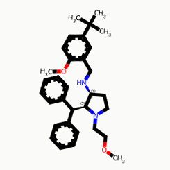 COCCN1CC[C@H](NCc2cc(C(C)(C)C)ccc2OC)[C@@H]1C(c1ccccc1)c1ccccc1